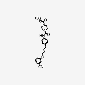 CC(C)(C)OC(=O)N1CCN(C(=O)Nc2ccc(CCCCOc3cccc(C#N)c3)cc2)CC1